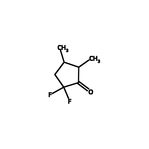 CC1CC(F)(F)C(=O)C1C